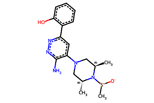 C[C@@H]1CN(c2cc(-c3ccccc3O)nnc2N)C[C@@H](C)N1[S+](C)[O-]